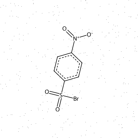 O=[N+]([O-])c1ccc(S(=O)(=O)Br)cc1